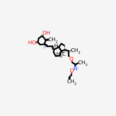 C=CCO/N=C(/C)COC[C@@H](C)[C@H]1CC[C@H]2/C(=C/C=C3/C[C@@H](O)C[C@H](O)C3=C)CCC[C@]12C